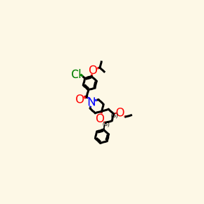 CCO[C@H]1C[C@@H](c2ccccc2)OC2(CCN(C(=O)c3ccc(OC(C)C)c(Cl)c3)CC2)C1